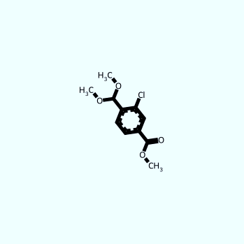 COC(=O)c1ccc(C(OC)OC)c(Cl)c1